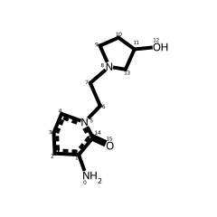 Nc1cccn(CCN2CCC(O)C2)c1=O